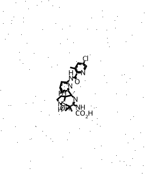 Cc1cc(Cl)cnc1C(=O)Nc1ccc(F)c([C@@]2(C)N=C(NC(=O)O)C(C)(C)[S@@]3(O)NCC[C@@H]23)n1